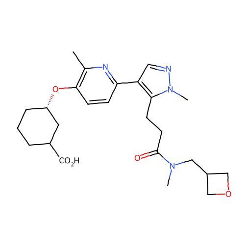 Cc1nc(-c2cnn(C)c2CCC(=O)N(C)CC2COC2)ccc1O[C@H]1CCCC(C(=O)O)C1